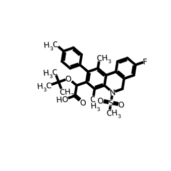 Cc1ccc(-c2c(C)c3c(c(C)c2C(OC(C)(C)C)C(=O)O)N(S(C)(=O)=O)Cc2cc(F)ccc2-3)cc1